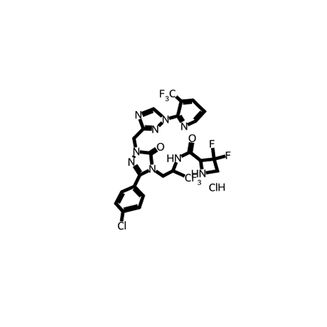 Cl.O=C(NC(Cn1c(-c2ccc(Cl)cc2)nn(Cc2ncn(-c3ncccc3C(F)(F)F)n2)c1=O)C(F)(F)F)C1NCC1(F)F